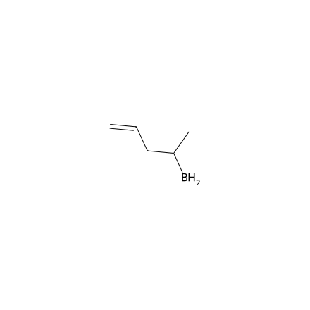 BC(C)CC=C